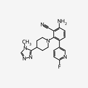 Cn1cnnc1C1CCN(c2c(-c3ccc(F)nc3)ccc(N)c2C#N)CC1